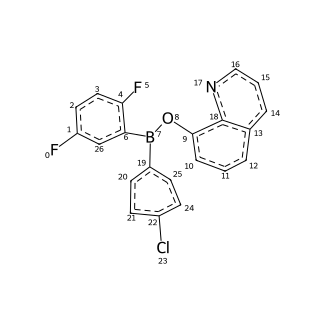 Fc1ccc(F)c(B(Oc2cccc3cccnc23)c2ccc(Cl)cc2)c1